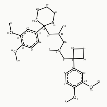 COc1ccc(C2(CN(C)CC(C)CC3(c4ccc(OC)c(OC)c4)SCCCS3)CCC2)cc1OC